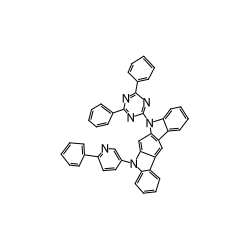 c1ccc(-c2ccc(-n3c4ccccc4c4cc5c6ccccc6n(-c6nc(-c7ccccc7)nc(-c7ccccc7)n6)c5cc43)cn2)cc1